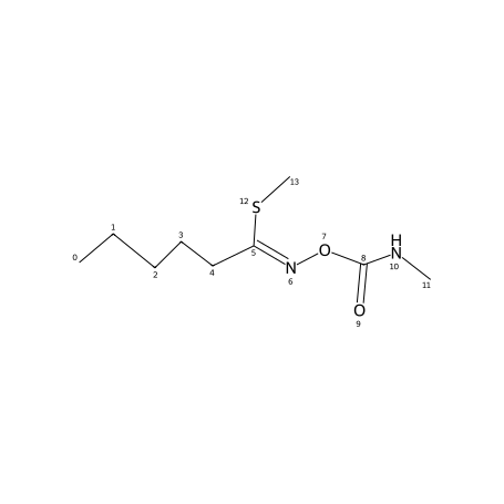 CCCCCC(=NOC(=O)NC)SC